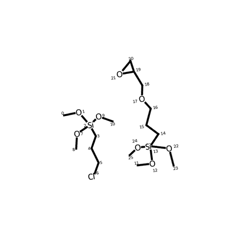 CO[Si](CCCCl)(OC)OC.CO[Si](CCCOCC1CO1)(OC)OC